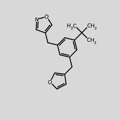 CC(C)(C)c1cc(Cc2ccoc2)cc(Cc2cnoc2)c1